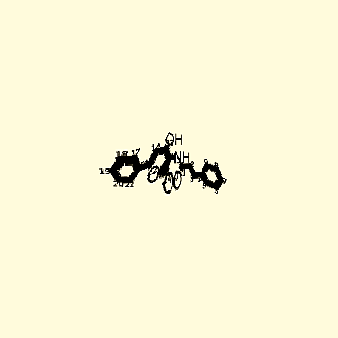 O=C(CCc1ccccc1)Nc1c(O)cc(-c2ccccc2)oc1=O